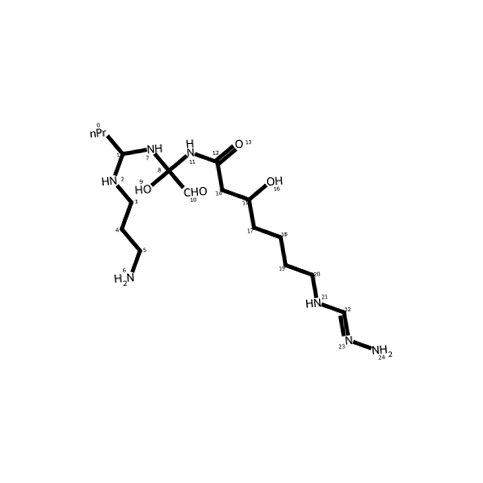 CCCC(NCCCN)NC(O)(C=O)NC(=O)CC(O)CCCCNC=NN